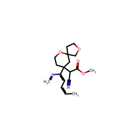 C=N/C(=C\C=C/C)C1(C(C#N)C(=O)OC)CCOC2(CCOC2)C1